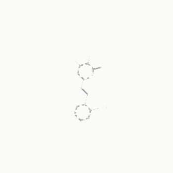 O=c1oc(/C=C/c2ccccc2O)cc(O)c1O